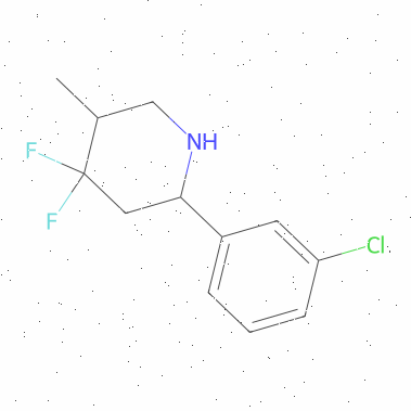 CC1CNC(c2cccc(Cl)c2)CC1(F)F